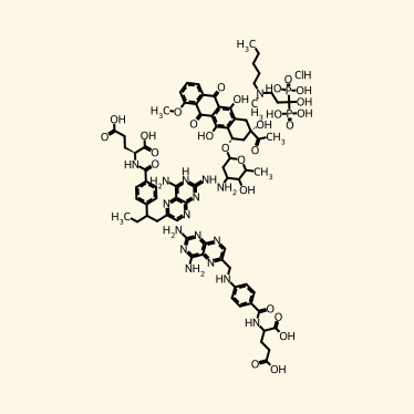 CCC(Cc1cnc2nc(=N)[nH]c(N)c2n1)c1ccc(C(=O)N[C@@H](CCC(=O)O)C(=O)O)cc1.CCCCCN(C)CCC(O)(P(=O)(O)O)P(=O)(O)O.COc1cccc2c1C(=O)c1c(O)c3c(c(O)c1C2=O)C[C@@](O)(C(C)=O)C[C@@H]3OC1CC(N)C(O)C(C)O1.Cl.Nc1nc(N)c2nc(CNc3ccc(C(=O)NC(CCC(=O)O)C(=O)O)cc3)cnc2n1